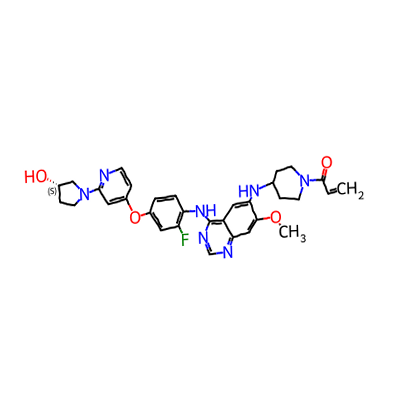 C=CC(=O)N1CCC(Nc2cc3c(Nc4ccc(Oc5ccnc(N6CC[C@H](O)C6)c5)cc4F)ncnc3cc2OC)CC1